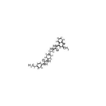 CCc1ccc(NC(=O)NC2CCN(CCNC(=O)Nc3cc(C)nc4ccccc34)CC2)cc1